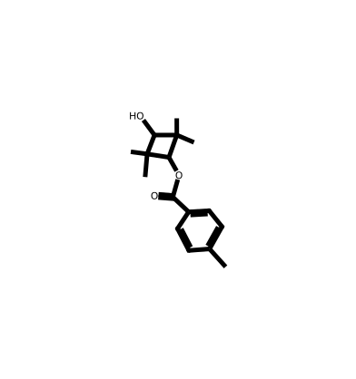 Cc1ccc(C(=O)OC2C(C)(C)C(O)C2(C)C)cc1